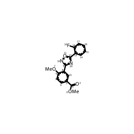 COC(=O)c1ccc(OC)c(-c2noc(-c3ccccc3F)n2)c1